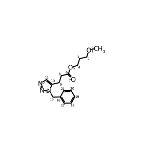 COCCCOC(=O)CCc1cnnn1Cc1ccccc1